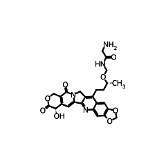 C[C@H](CCc1c2c(nc3cc4c(cc13)OCO4)-c1cc3c(c(=O)n1C2)COC(=O)[C@H]3O)OCNC(=O)CN